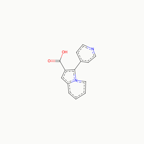 O=C(O)c1cc2ccccn2c1-c1ccncc1